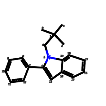 CC(C)(C)Cn1c(-c2ccccc2)cc2ccccc21